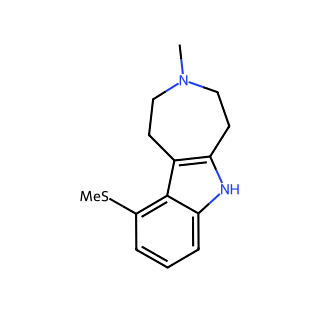 CSc1cccc2[nH]c3c(c12)CCN(C)CC3